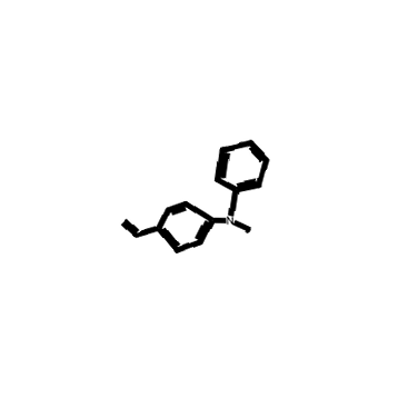 C=Cc1ccc(N(C)c2ccccc2)cc1